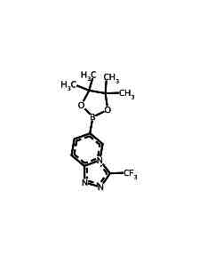 CC1(C)OB(c2ccc3nnc(C(F)(F)F)n3c2)OC1(C)C